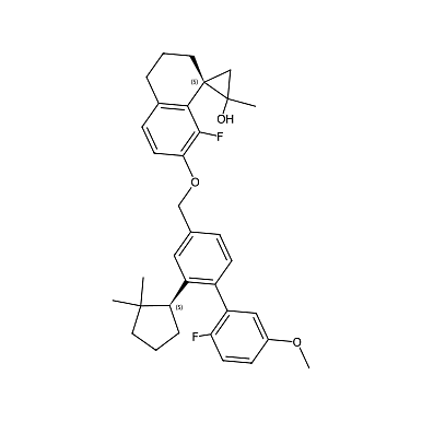 COc1ccc(F)c(-c2ccc(COc3ccc4c(c3F)[C@]3(CCC4)CC3(C)O)cc2[C@H]2CCCC2(C)C)c1